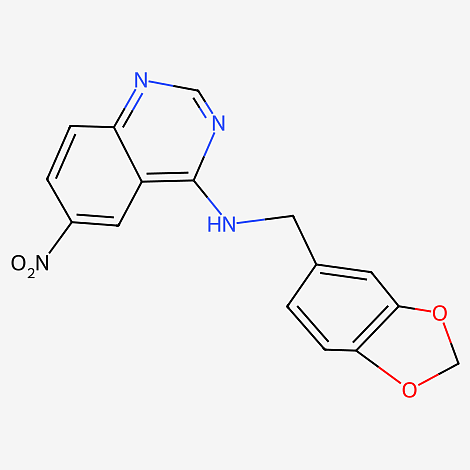 O=[N+]([O-])c1ccc2ncnc(NCc3ccc4c(c3)OCO4)c2c1